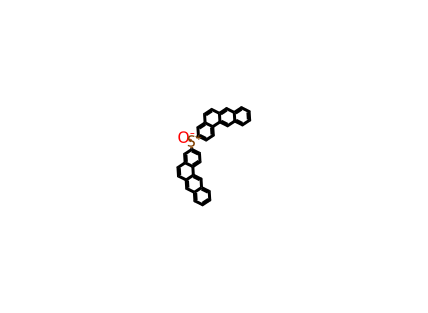 [O-][S+](c1ccc2c(ccc3cc4ccccc4cc32)c1)c1ccc2c(ccc3cc4ccccc4cc32)c1